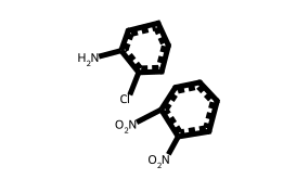 Nc1ccccc1Cl.O=[N+]([O-])c1ccccc1[N+](=O)[O-]